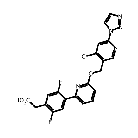 O=C(O)Cc1cc(F)c(-c2cccc(OCc3cnc(-n4ccnn4)cc3Cl)n2)cc1F